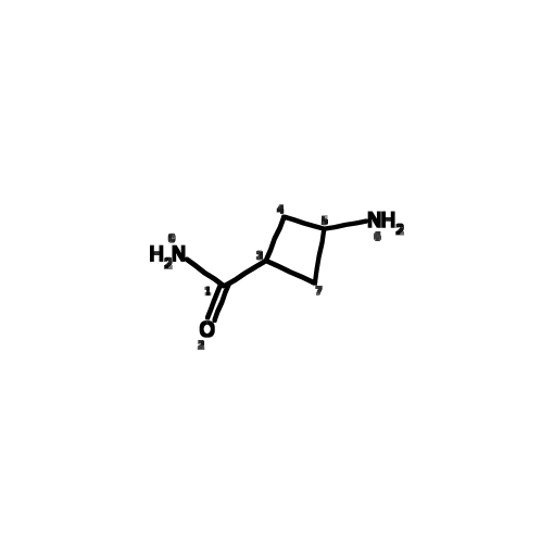 NC(=O)C1CC(N)C1